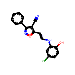 N#Cc1c(-c2ccccc2)noc1/C=C/Nc1cc(Cl)ccc1O